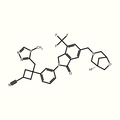 Cn1cnnc1CC1(c2cccc(N3Cc4c(cc(CN5CC6C[C@@H](CO6)C5)cc4C(F)(F)F)C3=O)c2)CC(C#N)C1